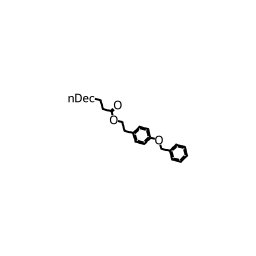 CCCCCCCCCCCCC(=O)OCCc1ccc(OCc2ccccc2)cc1